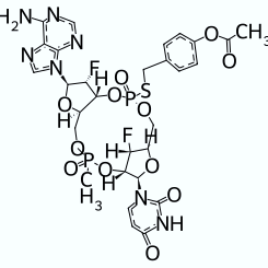 CC(=O)Oc1ccc(CSP2(=O)OC[C@H]3O[C@@H](n4ccc(=O)[nH]c4=O)[C@H](OP(C)(=O)OC[C@H]4O[C@@H](n5cnc6c(N)ncnc65)[C@H](F)[C@@H]4O2)[C@@H]3F)cc1